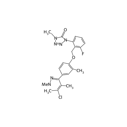 CN/N=C(\C(C)=C(/C)Cl)c1ccc(OCc2c(F)cccc2-n2nnn(C)c2=O)c(C)c1